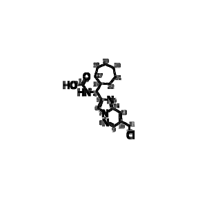 O=C(O)NC(c1cn2ncc(CCl)cc2n1)C1CCCCCC1